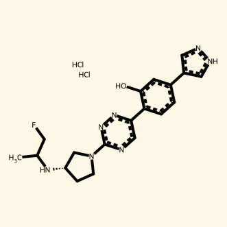 CC(CF)N[C@H]1CCN(c2ncc(-c3ccc(-c4cn[nH]c4)cc3O)nn2)C1.Cl.Cl